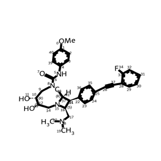 COc1ccc(NC(=O)N2C[C@@H](O)[C@@H](O)CN3[C@H](CN(C)C)[C@H](c4ccc(C#Cc5ccccc5F)cc4)[C@@H]3C2)cc1